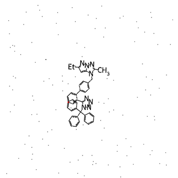 CCc1cc2n(Cc3ccc(-c4ccccc4-c4nnnn4C(c4ccccc4)(c4ccccc4)c4ccccc4)cc3)c(C)nn2n1